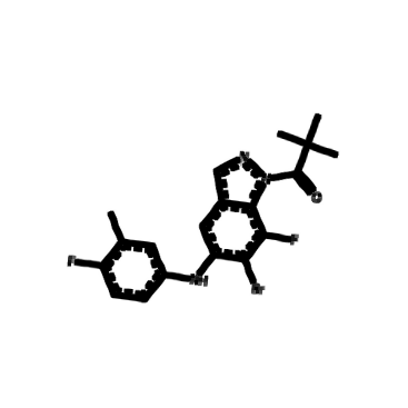 Cc1cc(Nc2cc3cnn(C(=O)C(C)(C)C)c3c(F)c2Br)ccc1F